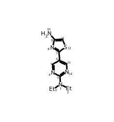 CCN(CC)c1ncc(-c2nc(N)cs2)cn1